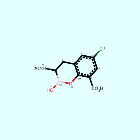 CC(=O)NC1Cc2cc(Cl)cc(C(=O)O)c2OB1O